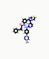 CC(C)N1CCN(c2ccc(Nc3nccc(-c4c(-c5cccc(NC(=O)C6CC6c6ccccc6)c5)nc5sccn45)n3)cc2)CC1